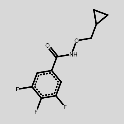 O=C(NOCC1CC1)c1cc(F)c(F)c(F)c1